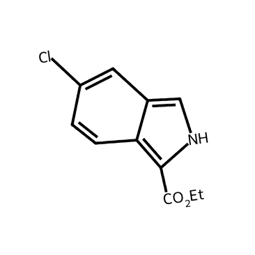 CCOC(=O)c1[nH]cc2cc(Cl)ccc12